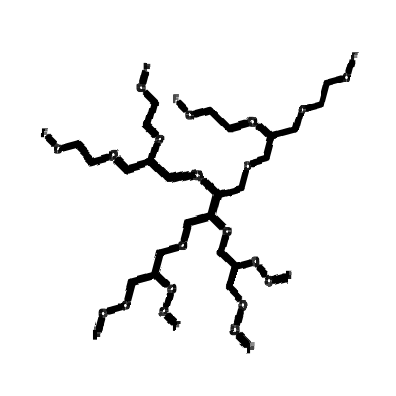 FOCCOCC(COCC(OCC(COCCOF)OCCOF)C(COCC(COOF)OOF)OCC(COOF)OOF)OCCOF